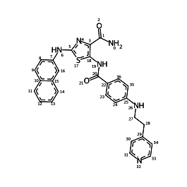 NC(=O)c1nc(Nc2ccc3ccccc3c2)sc1NC(=O)c1ccc(NCCc2ccncc2)cc1